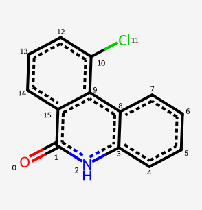 O=c1[nH]c2ccccc2c2c(Cl)cccc12